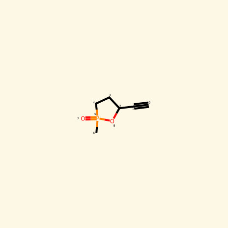 C#CC1CCP(C)(=O)O1